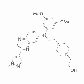 COc1cc(OC)cc(N(CCN2CCN(CCO)CC2)c2ccc3ncc(-c4cnn(C)c4)nc3c2)c1